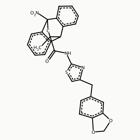 CC1(C(=O)Nc2nc(Cc3ccc4c(c3)OCO4)cs2)CC2([N+](=O)[O-])c3ccccc3C1c1ccccc12